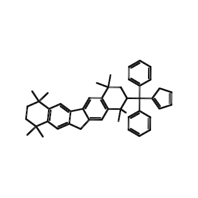 CC1(C)CCC(C)(C)c2cc3c(cc21)Cc1cc2c(cc1-3)C(C)(C)CC(C(C1=CC=CC1)(c1ccccc1)c1ccccc1)C2(C)C